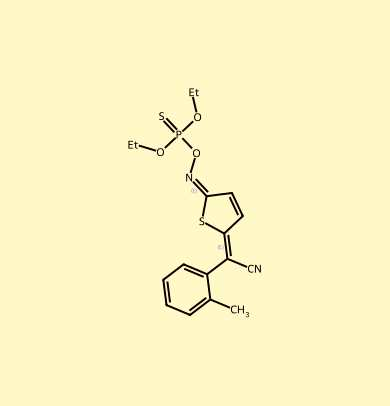 CCOP(=S)(OCC)O/N=C1C=C/C(=C(\C#N)c2ccccc2C)S\1